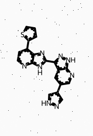 c1csc(-c2ccnc3[nH]c(-c4n[nH]c5ncc(-c6cn[nH]c6)cc45)nc23)c1